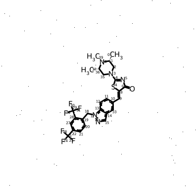 C[C@@H]1CN(C2=NC(=O)/C(=C/c3ccc4c(cnn4Cc4ccc(C(F)(F)F)cc4C(F)(F)F)c3)S2)C[C@H](C)N1C